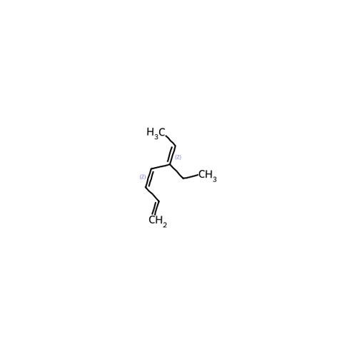 C=C/C=C\C(=C/C)CC